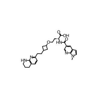 Cn1ccc2cc(C(=O)N[C@@H](CCOC3CC(CCc4ccc5c(n4)NCCC5)C3)C(=O)O)cnc21